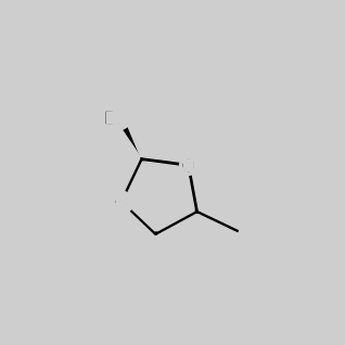 CC[C@@H]1OCC(C)O1